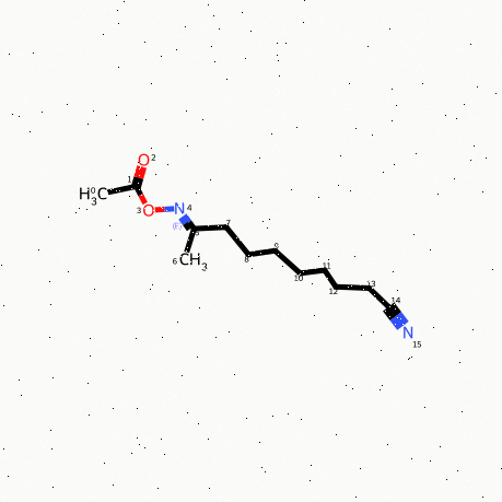 CC(=O)O/N=C(\C)CCCCCCCC#N